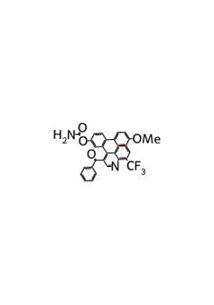 COc1ccc(-c2ccc(OC(N)=O)cc2-c2c(C(=O)c3ccccc3)cnc3c(C(F)(F)F)cccc23)cc1